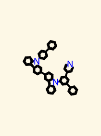 c1ccc(-c2ccc(-n3c4ccccc4c4ccc(-c5ccc6c(c5)c5ccccc5n6-c5cc(-c6ccccc6)cc(-c6ccncc6)c5)cc43)cc2)cc1